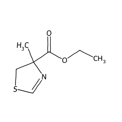 CCOC(=O)C1(C)CSC=N1